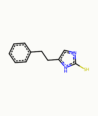 Sc1ncc(CCc2ccccc2)[nH]1